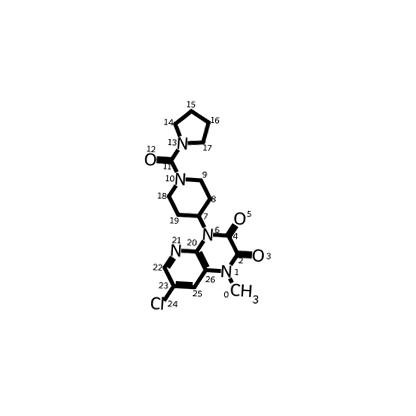 Cn1c(=O)c(=O)n(C2CCN(C(=O)N3CCCC3)CC2)c2ncc(Cl)cc21